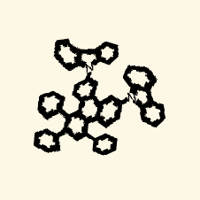 c1ccc(-c2cc(-c3ccccc3)c3c4ccc(-n5c6ccccc6c6ccccc65)cc4c4cc(-n5c6ccccc6c6ccccc65)ccc4c3c2-c2ccccc2)cc1